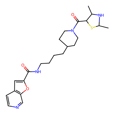 CC1NC(C)C(C(=O)N2CCC(CCCCNC(=O)c3cc4ccncc4o3)CC2)S1